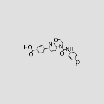 COc1ccc(NC(=O)N2CCOc3nc(-c4ccc(C(=O)O)cc4)ccc32)cc1